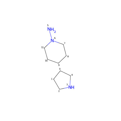 C1CCNC1.NN1CCCCC1